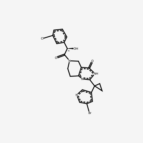 O=C([C@H](O)c1cccc(Cl)c1)N1CCc2nc(C3(c4cncc(Br)c4)CC3)[nH]c(=O)c2C1